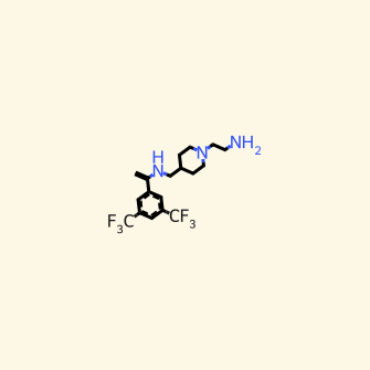 C=C(NCC1CCN(CCN)CC1)c1cc(C(F)(F)F)cc(C(F)(F)F)c1